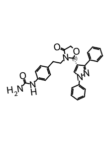 NC(=O)Nc1ccc(CCN2C(=O)CO[C@@H]2c2cn(-c3ccccc3)nc2-c2ccccc2)cc1